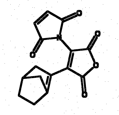 O=C1OC(=O)C(N2C(=O)C=CC2=O)=C1C1=C2CCC(C2)C1